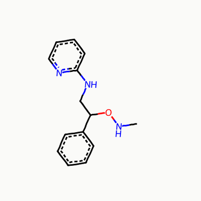 CNOC(CNc1ccccn1)c1ccccc1